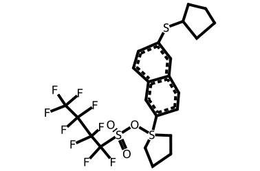 O=S(=O)(OS1(c2ccc3cc(SC4CCCC4)ccc3c2)CCCC1)C(F)(F)C(F)(F)C(F)(F)C(F)(F)F